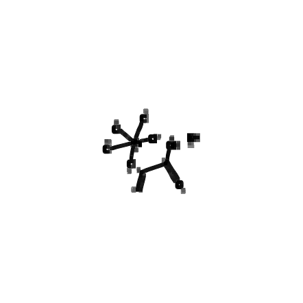 C=CC(=O)O.[Cl][Rh]([Cl])([Cl])([Cl])[Cl].[KH]